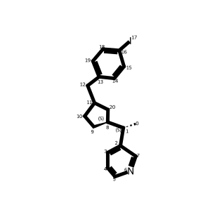 C[C@H](c1cccnc1)[C@H]1CCC(Cc2ccc(I)cc2)C1